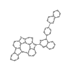 c1ccc2cc(-c3ccc(-c4nc(-n5c6ccc7sc8ccc9c%10ccccc%10n%10c%11cccc5c%11c6c7c8c9%10)nc5ccccc45)cc3)ccc2c1